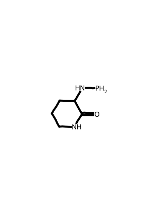 O=C1NCCCC1NP